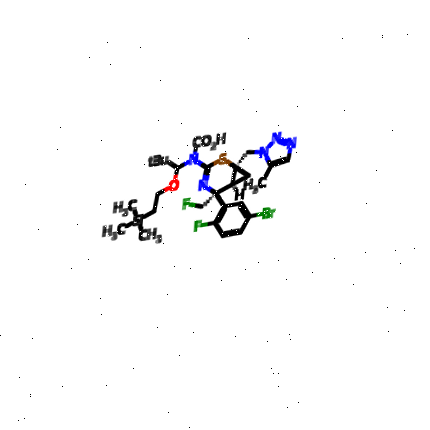 Cc1cnnn1C[C@]12C[C@H]1[C@@](CF)(c1cc(Br)ccc1F)N=C(N(C(=O)O)C(OCC[Si](C)(C)C)C(C)(C)C)S2